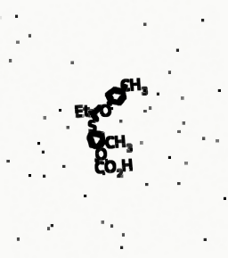 CC[C@H](COc1ccc(C)cc1)CSc1ccc(OCC(=O)O)c(C)c1